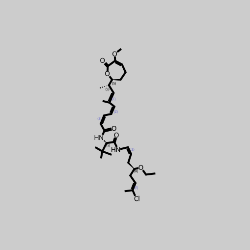 CCO[C@H](C/C=C\NC(=O)[C@@H](NC(=O)\C=C/C=C\C(C)=C\[C@H](C)[C@@H]1CCC=C(OC)C(=O)O1)C(C)(C)C)C/C=C(\C)Cl